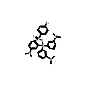 CCc1ccc(S(=O)(=O)OS(c2cccc(N(C)C)c2)(c2cccc(N(C)C)c2)c2cccc(N(C)C)c2)cc1